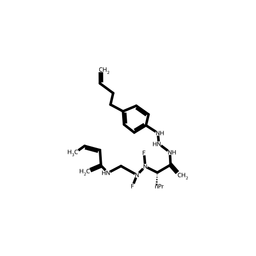 C=CCCc1ccc(NNNC(=C)[C@H](CCC)N(F)N(F)CNC(=C)/C=C\C)cc1